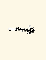 O=[C]OCCCCCCc1occ2cccc(F)c12